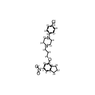 O=[N+]([O-])c1cc2c(c(OCCCN3CCN(c4ccc(Cl)cc4)CC3)c1)CCC2